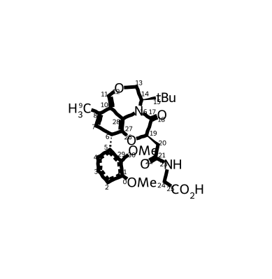 COc1cccc([C@@H]2C=C(C)C3=COC[C@@H](C(C)(C)C)N4C(=O)[C@@H](CC(=O)NCC(=O)O)OC2=C34)c1OC